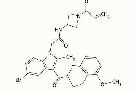 C=CC(=O)N1CC(NC(=O)Cn2c(C)c(C(=O)N3CCc4c(cccc4OC)C3)c3cc(Br)ccc32)C1